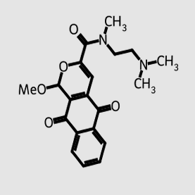 COC1OC(C(=O)N(C)CCN(C)C)=CC2=C1C(=O)c1ccccc1C2=O